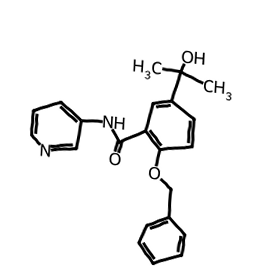 CC(C)(O)c1ccc(OCc2ccccc2)c(C(=O)Nc2cccnc2)c1